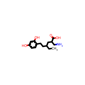 CCC(CCc1ccc(O)cc1O)CC(CN)C(=O)O